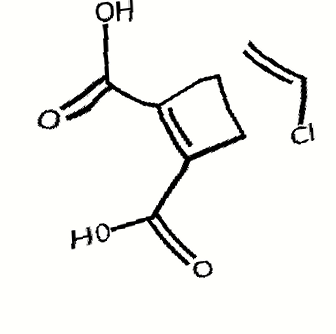 C=CCl.O=C(O)C1=C(C(=O)O)CC1